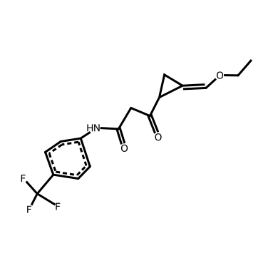 CCO/C=C1\CC1C(=O)CC(=O)Nc1ccc(C(F)(F)F)cc1